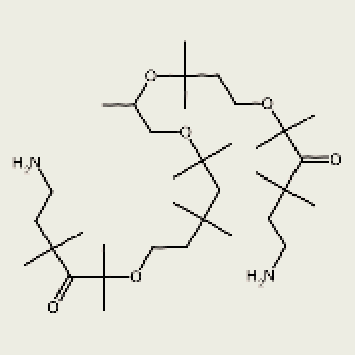 CC(COC(C)(C)CC(C)(C)CCOC(C)(C)C(=O)C(C)(C)CCN)OC(C)(C)CCOC(C)(C)C(=O)C(C)(C)CCN